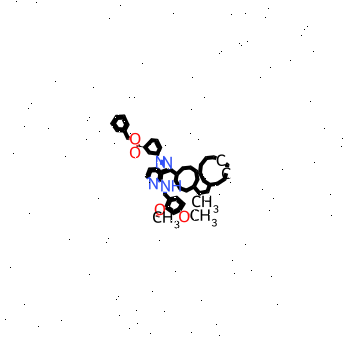 COc1ccc(CNc2nccc3c2c(C2CCCCC(C(C)CC4CCCCCCCCCC4)CCC2)nn3[C@@H]2C=CC[C@@H](C(=O)OCc3ccccc3)C2)c(OC)c1